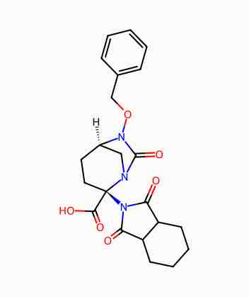 O=C1N(OCc2ccccc2)[C@@H]2CC[C@](C(=O)O)(N3C(=O)C4CCCCC4C3=O)N1C2